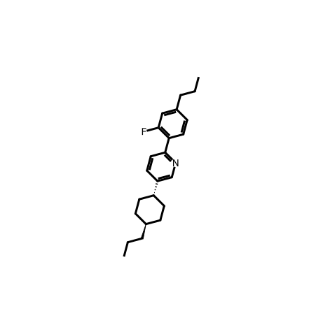 CCCc1ccc(-c2ccc([C@H]3CC[C@H](CCC)CC3)cn2)c(F)c1